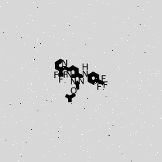 CC(C)COCc1nc(Nc2ccc(C(F)(F)F)cc2)c2ccc(-c3ncccc3C(F)(F)F)nc2n1